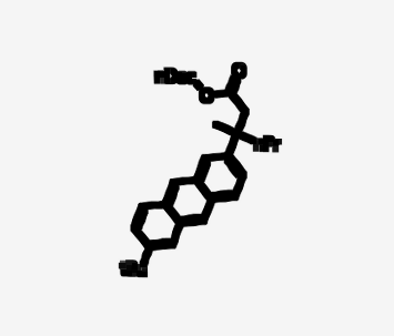 CCCCCCCCCCOC(=O)CC(C)(CCC)c1ccc2cc3cc(C(C)(C)C)ccc3cc2c1